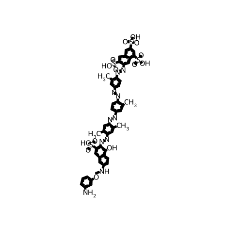 Cc1cc(N=Nc2cc(C)c(N=Nc3c(S(=O)(=O)O)cc4cc(NCOc5cccc(N)c5)ccc4c3O)cc2C)ccc1N=Nc1ccc(N=Nc2cc3c(S(=O)(=O)O)cc(S(=O)(=O)O)cc3cc2S(=O)(=O)O)c(C)c1